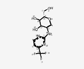 OC[C@@H]1OCC(Nc2nccc(C(F)(F)F)n2)C(O)C1O